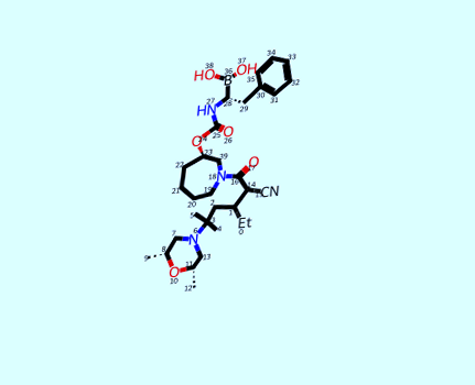 CCC(CC(C)(C)N1C[C@@H](C)O[C@@H](C)C1)C(C#N)C(=O)N1CCCC[C@@H](OC(=O)N[C@@H](Cc2ccccc2)B(O)O)C1